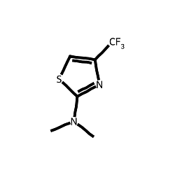 CN(C)c1nc(C(F)(F)F)cs1